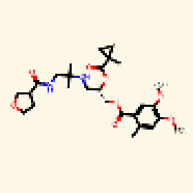 CCCCOc1cc(C)c(C(=O)OC[C@H](CNC(C)(C)CNC(=O)C2CCOC2)OC(=O)C2(C)CC2)cc1OCCCC